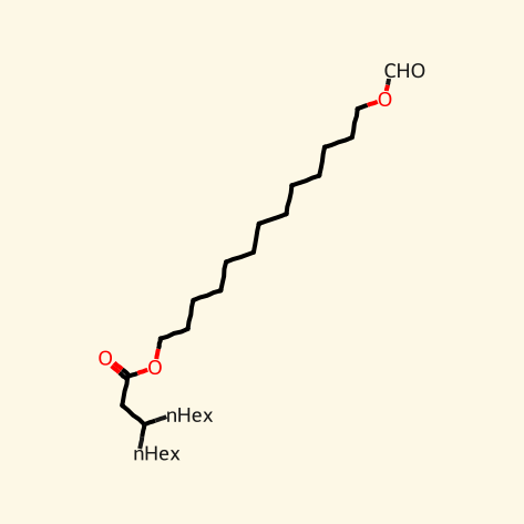 CCCCCCC(CCCCCC)CC(=O)OCCCCCCCCCCCCCOC=O